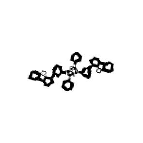 c1ccc(B2N3B(c4cccc(-c5cccc6c5oc5ccccc56)c4)N(c4ccccc4)B3N2c2cccc(-c3cccc4c3oc3ccccc34)c2)cc1